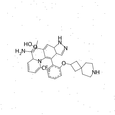 CC(C)(O)C1=CC2NN=CC2C(c2ccccc2OC2CC3(CCNCC3)C2)=C1N1C(C(F)(F)F)=CC=CC1C(N)=O